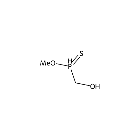 CO[PH](=S)CO